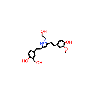 COc1cc(/C=C/c2cc(/C=C/c3ccc(O)c(CO)c3)nn2CCO)ccc1O